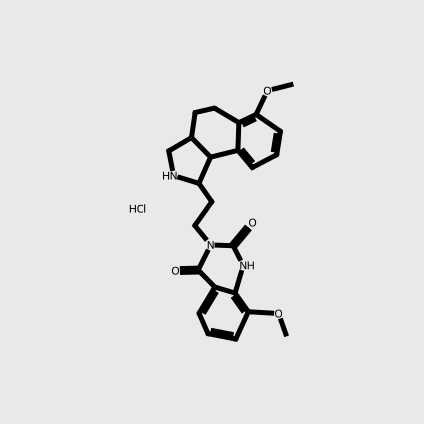 COc1cccc2c1CCC1CNC(CCn3c(=O)[nH]c4c(OC)cccc4c3=O)C21.Cl